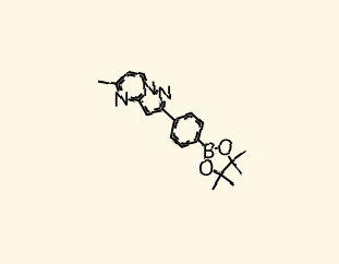 Cc1ccn2nc(-c3ccc(B4OC(C)(C)C(C)(C)O4)cc3)cc2n1